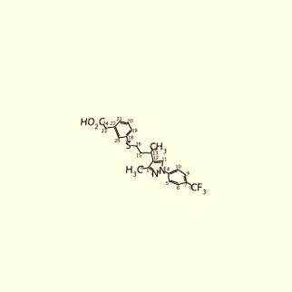 Cc1nn(-c2ccc(C(F)(F)F)cc2)cc1C(C)CCSc1cccc(CC(=O)O)c1